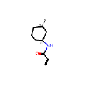 C=CC(=O)N[C@H]1CCC[C@H](C)C1